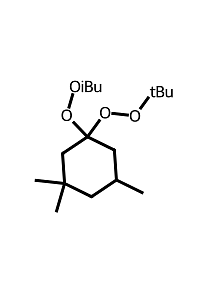 CC(C)COOC1(OOC(C)(C)C)CC(C)CC(C)(C)C1